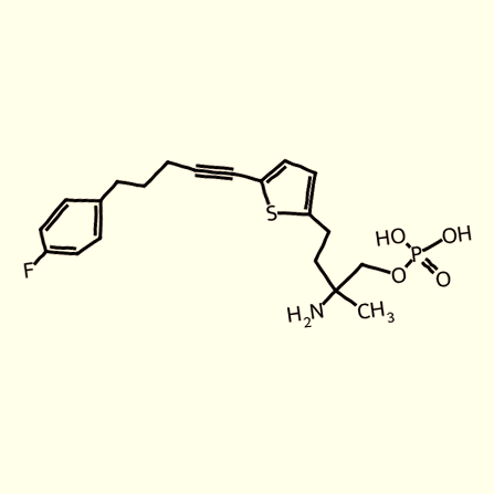 CC(N)(CCc1ccc(C#CCCCc2ccc(F)cc2)s1)COP(=O)(O)O